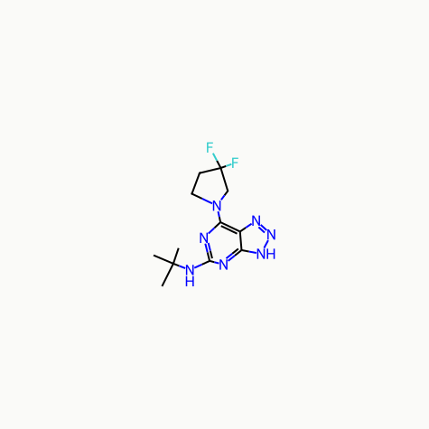 CC(C)(C)Nc1nc(N2CCC(F)(F)C2)c2nn[nH]c2n1